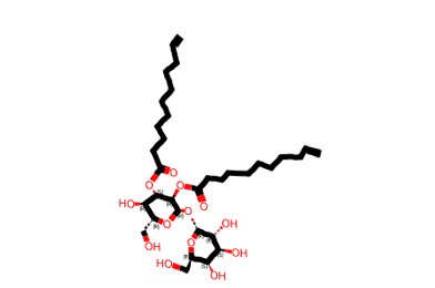 C=CCCCCCCCCC(=O)O[C@H]1[C@@H](O[C@H]2O[C@H](CO)[C@@H](O)[C@H](O)[C@H]2O)O[C@H](CO)[C@@H](O)[C@@H]1OC(=O)CCCCCCCCC=C